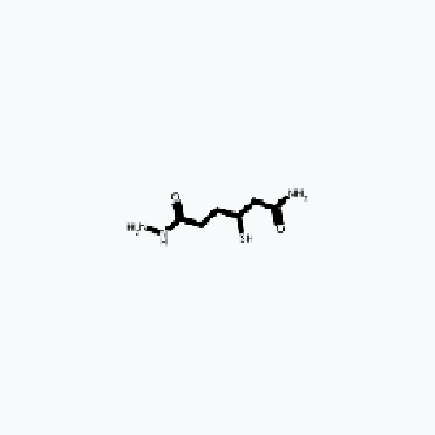 NNC(=O)CCC(S)CC(N)=O